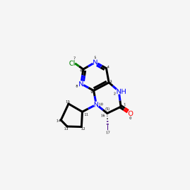 O=C1Nc2cnc(Cl)nc2N(C2CCCC2)[C@H]1I